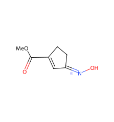 COC(=O)C1=C/C(=N/O)CC1